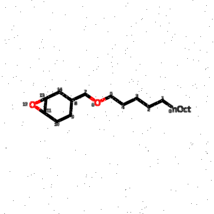 CCCCCCCCCCCCCOCC1CCC2OC2C1